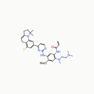 C=CC(=O)Nc1cc(Nc2nccc(-c3cc(F)c4c(c3)N3C(=CC4)CCC3(C)C)n2)c(OC)cc1N(C)CCN(C)C